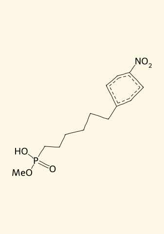 COP(=O)(O)CCCCCCc1ccc([N+](=O)[O-])cc1